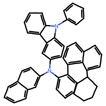 c1ccc(-n2c3ccccc3c3cc(N(c4ccc5ccccc5c4)c4ccccc4-c4cccc5cccc(C6CCCCC6)c45)ccc32)cc1